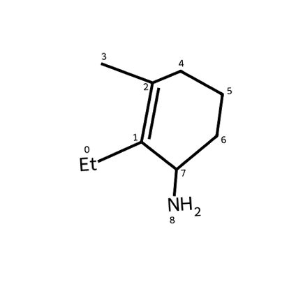 CCC1=C(C)CCCC1N